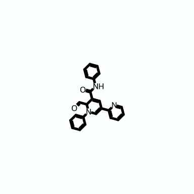 O=CC1C(C(=O)Nc2ccccc2)=CC(c2ccccn2)=CN1c1ccccc1